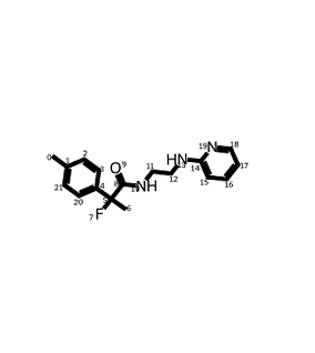 Cc1ccc(C(C)(F)C(=O)NCCNc2ccccn2)cc1